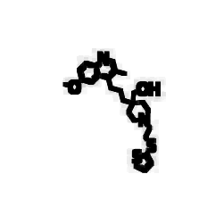 COc1ccc2ncc(C)c(CCCC3(CO)CCN(CCSc4cccs4)CC3)c2c1